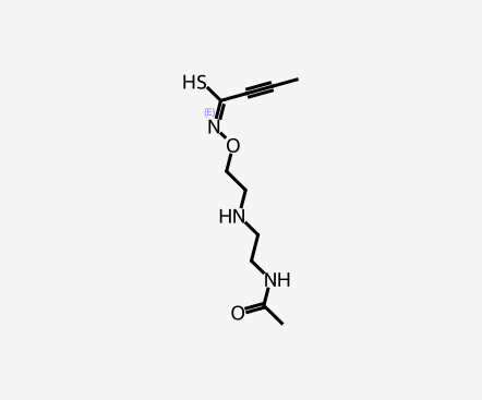 CC#C/C(S)=N\OCCNCCNC(C)=O